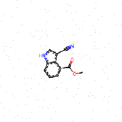 COC(=O)c1cccc2[nH]cc(C#N)c12